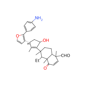 CCC1C(C)(C2=C(C)[C@H](c3ccoc3-c3ccc(N)cc3)CC2O)CCC2C(C)(C=O)C=CC(=O)C21C